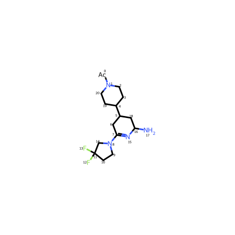 CC(=O)N1CCC(C2CC(N3CCC(F)(F)C3)=NC(N)C2)CC1